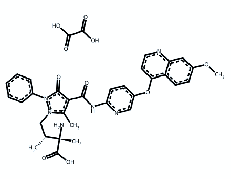 COc1ccc2c(Oc3ccc(NC(=O)c4c(C)n(C[C@@H](C)[C@](C)(N)C(=O)O)n(-c5ccccc5)c4=O)nc3)ccnc2c1.O=C(O)C(=O)O